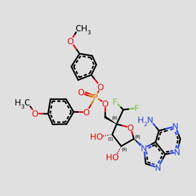 COc1ccc(OP(=O)(OC[C@@]2(C(F)F)O[C@@H](n3cnc4ncnc(N)c43)[C@H](O)[C@@H]2O)Oc2ccc(OC)cc2)cc1